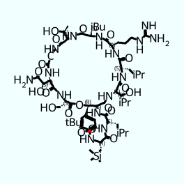 CC[C@H](C)C1NC(=O)[C@@H](CCCNC(=N)N)NC(=O)[C@H](CC(C)C)NC(=O)[C@H]([C@H](O)C(C)C)NC(=O)[C@@H](NC(=O)[C@H](CC(C)C)NC(=O)[C@H](C[Si](C)(C)C)NC(=O)OC(C)(C)C)[C@@H](c2ccccc2)OC(=O)[C@H](CO)NC(=O)[C@H]([C@H](O)C(N)=O)NC(=O)CNC(=O)C([C@H](C)O)NC1=O